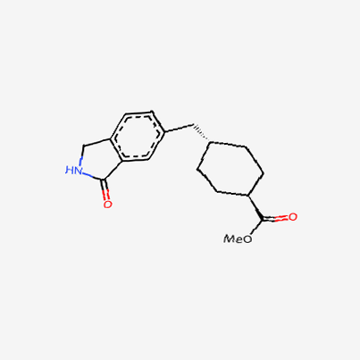 COC(=O)[C@H]1CC[C@H](Cc2ccc3c(c2)C(=O)NC3)CC1